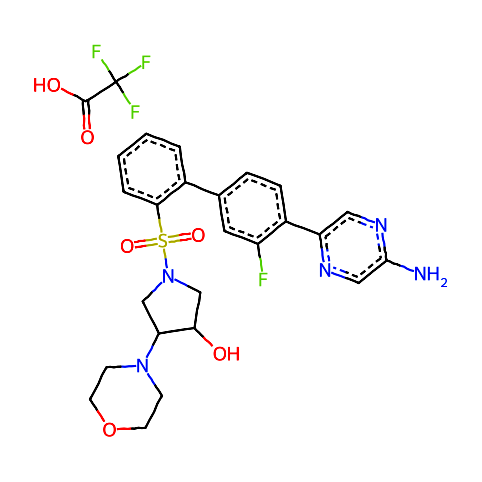 Nc1cnc(-c2ccc(-c3ccccc3S(=O)(=O)N3CC(O)C(N4CCOCC4)C3)cc2F)cn1.O=C(O)C(F)(F)F